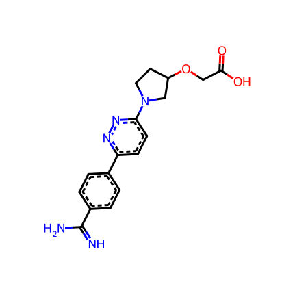 N=C(N)c1ccc(-c2ccc(N3CCC(OCC(=O)O)C3)nn2)cc1